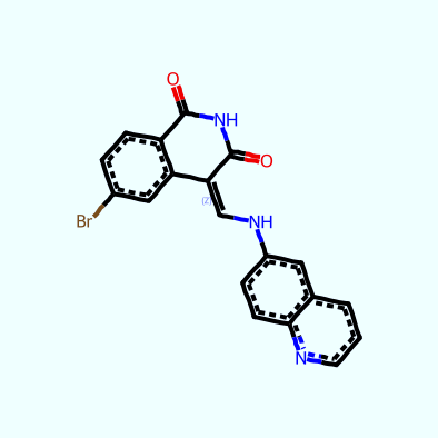 O=C1NC(=O)c2ccc(Br)cc2/C1=C/Nc1ccc2ncccc2c1